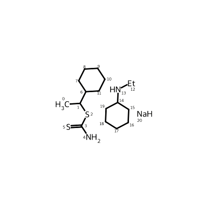 CC(SC(N)=S)C1CCCCC1.CCNC1CCCCC1.[NaH]